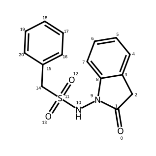 O=C1Cc2ccccc2N1NS(=O)(=O)Cc1ccccc1